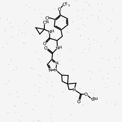 CC(C)(C)OC(=O)N1CC2(CC(n3ncc(C(=O)NC(Cc4ccc(OC(F)(F)F)c(Cl)c4)C(=O)NC4(C#N)CC4)n3)C2)C1